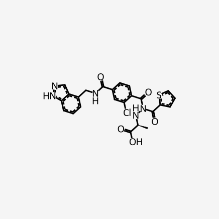 C[C@H](NN(C(=O)c1cccs1)C(=O)c1ccc(C(=O)NCc2cccc3[nH]ncc23)cc1Cl)C(=O)O